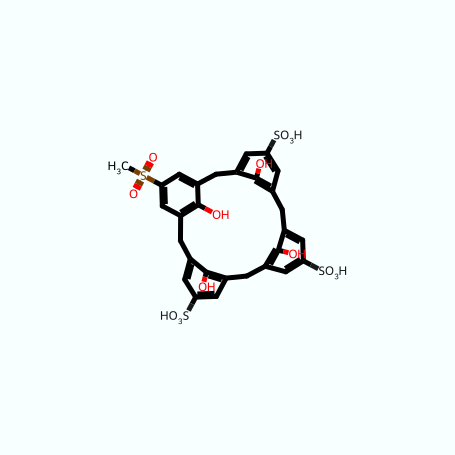 CS(=O)(=O)c1cc2c(O)c(c1)Cc1cc(S(=O)(=O)O)cc(c1O)Cc1cc(S(=O)(=O)O)cc(c1O)Cc1cc(S(=O)(=O)O)cc(c1O)C2